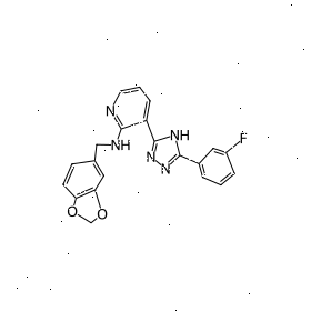 Fc1cccc(-c2nnc(-c3cccnc3NCc3ccc4c(c3)OCO4)[nH]2)c1